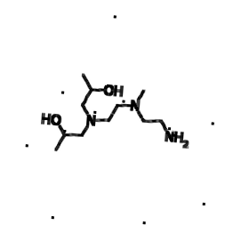 CC(O)CN(CCN(C)CCN)CC(C)O